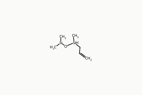 C=CC[SiH](C)O[Si](C)C